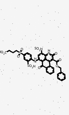 O=C(O)CCCS(=O)(=O)c1ccc(Nc2cc(S(=O)(=O)O)c3[nH]c(=O)c(C(=O)OCc4ccccc4)c4c3c2C(=O)c2ccccc2-4)c(S(=O)(=O)O)c1